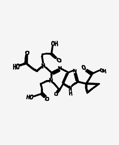 O=C(O)CN(CC(=O)O)c1nc2nc(C3(C(=O)O)CC3)[nH]c2c(=O)n1CC(=O)O